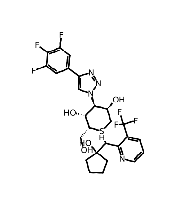 OC[C@@H]1[C@H](O)[C@@H](n2cc(-c3cc(F)c(F)c(F)c3)nn2)[C@@H](O)C[SH]1[C@@H](c1ncccc1C(F)(F)F)C1(O)CCCC1